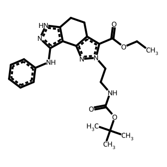 CCOC(=O)c1c2c(nn1CCNC(=O)OC(C)(C)C)-c1c(Nc3ccccc3)n[nH]c1CC2